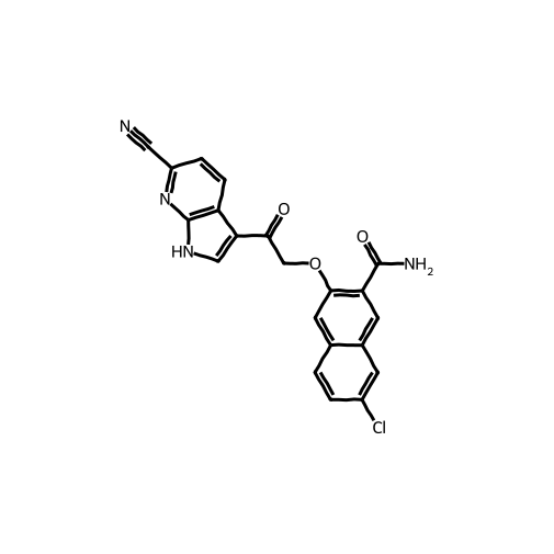 N#Cc1ccc2c(C(=O)COc3cc4ccc(Cl)cc4cc3C(N)=O)c[nH]c2n1